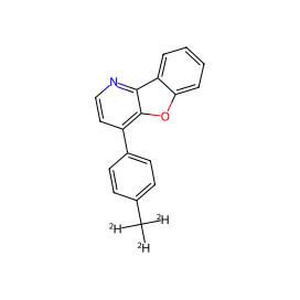 [2H]C([2H])([2H])c1ccc(-c2ccnc3c2oc2ccccc23)cc1